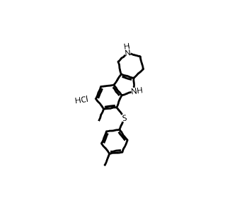 Cc1ccc(Sc2c(C)ccc3c4c([nH]c23)CCNC4)cc1.Cl